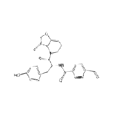 C=Cc1ccc(C(=O)NC(Cc2ccc(O)cc2)C(=O)N2CCC=C3OCC(=O)C32)cc1